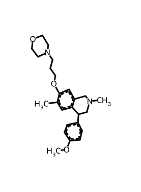 COc1ccc(C2CN(C)Cc3cc(OCCCN4CCOCC4)c(C)cc32)cc1